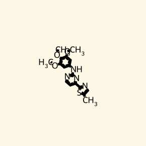 COc1cc(Nc2nccc(-c3ncc(C)s3)n2)cc(OC)c1OC